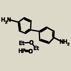 CCOCC.Nc1ccc(-c2ccc(N)cc2)cc1.O=P